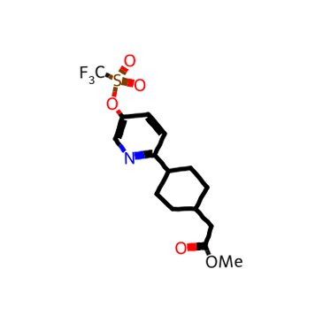 COC(=O)CC1CCC(c2ccc(OS(=O)(=O)C(F)(F)F)cn2)CC1